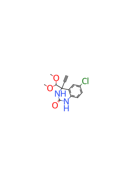 C#CC1(C(OC)OC)NC(=O)Nc2ccc(Cl)cc21